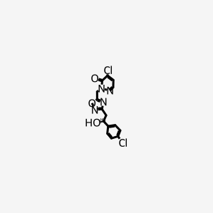 O=c1c(Cl)ccnn1Cc1nc(C[C@H](O)c2ccc(Cl)cc2)no1